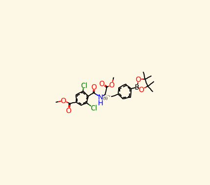 COC(=O)c1cc(Cl)c(C(=O)N[C@@H](Cc2ccc(B3OC(C)(C)C(C)(C)O3)cc2)C(=O)OC)c(Cl)c1